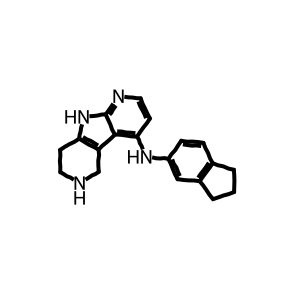 c1cc(Nc2ccc3c(c2)CCC3)c2c3c([nH]c2n1)CCNC3